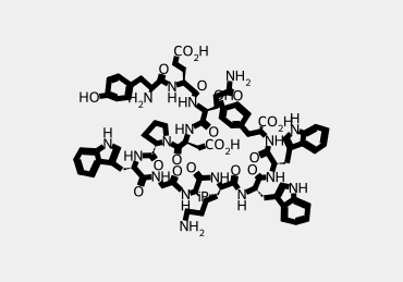 CC(C)[C@H](NC(=O)CNC(=O)[C@H](Cc1c[nH]c2ccccc12)NC(=O)[C@@H]1CCCN1C(=O)[C@H](CC(=O)O)NC(=O)[C@H](CCC(N)=O)NC(=O)[C@H](CCC(=O)O)NC(=O)[C@@H](N)Cc1ccc(O)cc1)C(=O)N[C@@H](CCCCN)C(=O)N[C@@H](Cc1c[nH]c2ccccc12)C(=O)N[C@@H](Cc1c[nH]c2ccccc12)C(=O)N[C@@H](Cc1ccc(O)cc1)C(=O)O